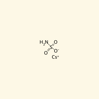 NS(=O)(=O)[O-].[Cs+]